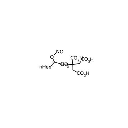 CCCCCCC(C)ON=O.O=C(O)CC(O)(CC(=O)O)C(=O)O